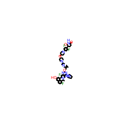 CCc1c(F)ccc2cc(O)cc(-c3ncc4c(N5CC6CCC(C5)N6)nc(OCC5(CN6CC(N7CCC(OC8CCN(c9cc(F)c(C%10CCC(=O)NC%10=O)c(F)c9)CC8)CC7)C6)CC5)nc4c3F)c12